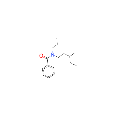 CCCN(CCC(C)CC)C(=O)c1ccccc1